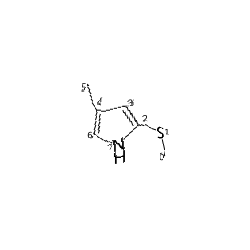 CSc1cc(C)c[nH]1